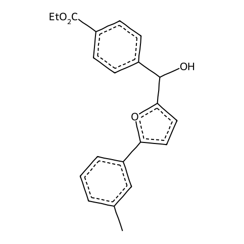 CCOC(=O)c1ccc(C(O)c2ccc(-c3cccc(C)c3)o2)cc1